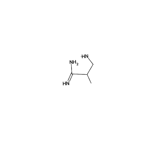 CC(C[NH])C(=N)N